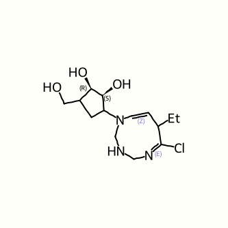 CCC1/C=C\N(C2CC(CO)[C@@H](O)[C@H]2O)CNC/N=C\1Cl